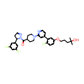 CC(C)(O)CCCOc1ccc(F)c(-c2ccnc(N3CCC(C(=O)N4N=CCC4c4cc(F)cc(F)c4)CC3)c2)c1